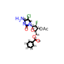 CC(=O)O[C@H]1[C@@H](F)[C@H](n2cc(Cl)c(N)nc2=O)O[C@@H]1COC(=O)c1ccccc1